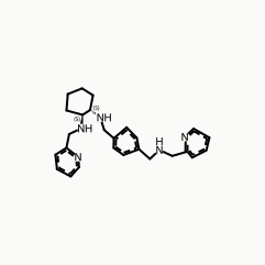 c1ccc(CNCc2ccc(CN[C@H]3CCCC[C@@H]3NCc3ccccn3)cc2)nc1